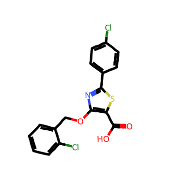 O=C(O)c1sc(-c2ccc(Cl)cc2)nc1OCc1ccccc1Cl